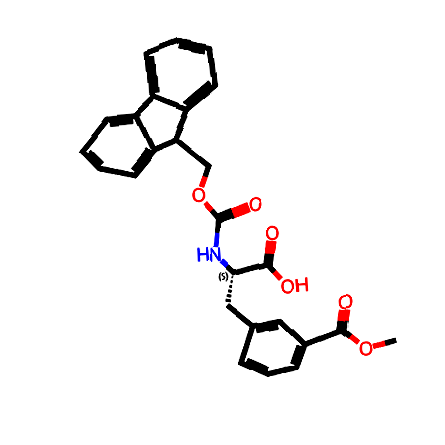 COC(=O)c1cccc(C[C@H](NC(=O)OCC2c3ccccc3-c3ccccc32)C(=O)O)c1